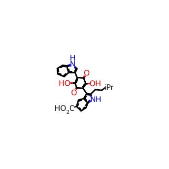 CC(C)CCc1[nH]c2ccc(C(=O)O)cc2c1C1=C(O)C(=O)C(c2c[nH]c3ccccc23)=C(O)C1=O